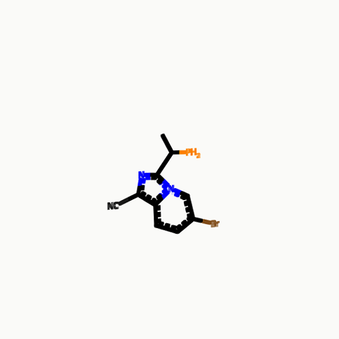 CC(P)c1nc(C#N)c2ccc(Br)cn12